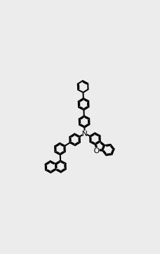 C1=CCC(c2ccc(-c3ccc(N(c4ccc(-c5cccc(-c6cccc7ccccc67)c5)cc4)c4ccc5c(c4)oc4ccccc45)cc3)cc2)C=C1